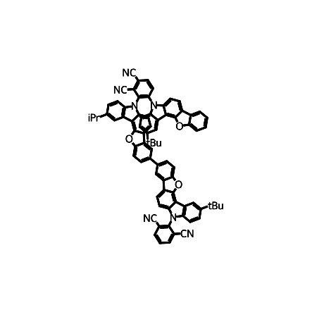 CC(C)c1ccc2c(c1)c1c3oc4ccc(-c5ccc6oc7c(ccc8c7c7cc(C(C)(C)C)ccc7n8-c7c(C#N)cccc7C#N)c6c5)cc4c3ccc1n2-c1c(-n2c3ccc(C(C)(C)C)cc3c3c4oc5ccccc5c4ccc32)ccc(C#N)c1C#N